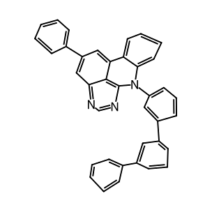 c1ccc(-c2cccc(-c3cccc(N4c5ccccc5-c5cc(-c6ccccc6)cc6ncnc4c56)c3)c2)cc1